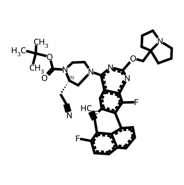 C#Cc1c(F)ccc2cccc(-c3c(F)cc4c(N5CCN(C(=O)OC(C)(C)C)[C@@H](CC#N)C5)nc(OCC56CCCN5CCC6)nc4c3F)c12